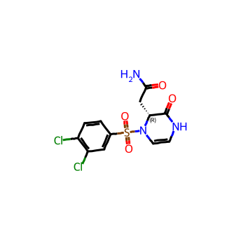 NC(=O)C[C@@H]1C(=O)NC=CN1S(=O)(=O)c1ccc(Cl)c(Cl)c1